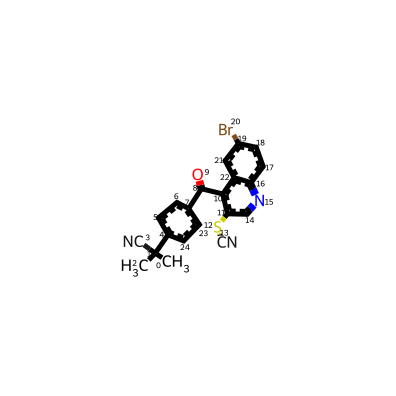 CC(C)(C#N)c1ccc(C(=O)c2c(SC#N)cnc3ccc(Br)cc23)cc1